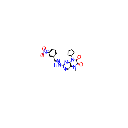 Cn1c(=O)c(=O)n(C2CCCC2)c2nc(NN=Cc3cccc([N+](=O)[O-])c3)ncc21